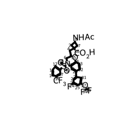 CC(=O)NC1CC(CC2CN(S(=O)(=O)c3cccc(C(F)(F)F)c3)c3cc(-c4cc(F)cc(OC(F)F)c4)ccc3O2)(C(=O)O)C1